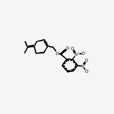 CC(C)=C1CC=C(COC(=O)c2cccc([N+](=O)[O-])c2[N+](=O)[O-])CC1